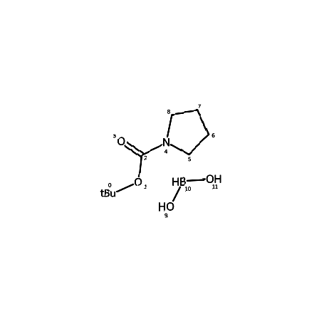 CC(C)(C)OC(=O)N1CCCC1.OBO